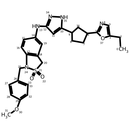 CCc1cnc(C2CCC(c3cc(Nc4ccc5c(c4)CS(=O)(=O)N5Cc4ccc(OC)cc4)n[nH]3)C2)o1